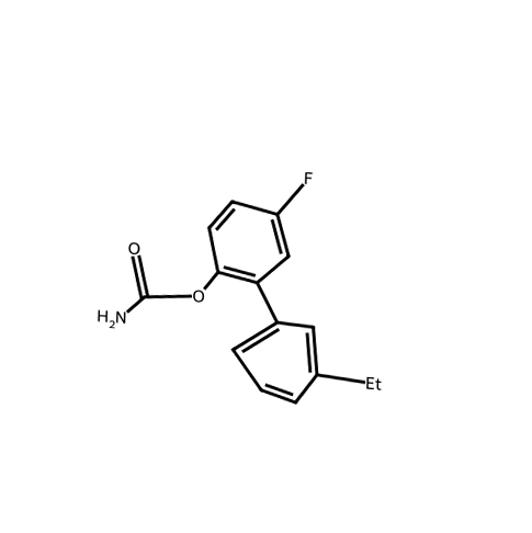 CCc1cccc(-c2cc(F)ccc2OC(N)=O)c1